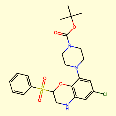 CC(C)(C)OC(=O)N1CCN(c2cc(Cl)cc3c2OC(S(=O)(=O)c2ccccc2)CN3)CC1